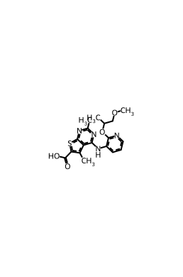 COCC(C)Oc1ncccc1Nc1nc(C)nc2sc(C(=O)O)c(C)c12